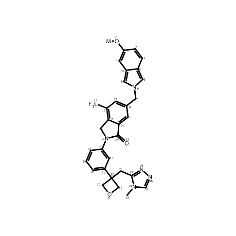 COc1ccc2cn(Cc3cc4c(c(C(F)(F)F)c3)CN(c3cccc(C5(Cc6nncn6C)COC5)c3)C4=O)cc2c1